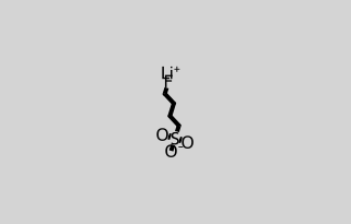 O=S(=O)([O-])CCCCF.[Li+]